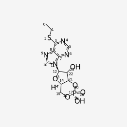 CCSc1ncnc2c1ncn2[C@@H]1O[C@@H]2COP(=O)(O)OC2C1O